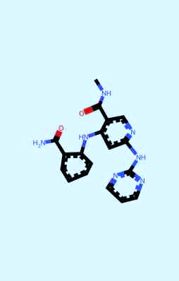 CNC(=O)c1cnc(Nc2ncccn2)cc1Nc1ccccc1C(N)=O